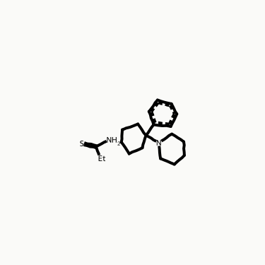 CCC(N)=S.c1ccc(C2(N3CCCCC3)CCCCC2)cc1